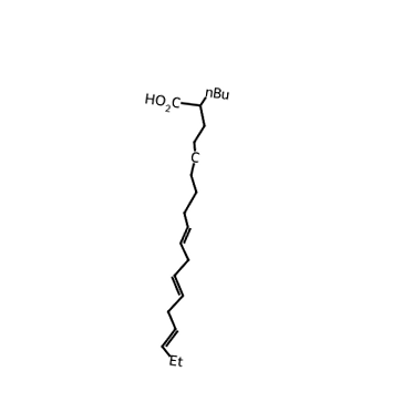 CC/C=C/C/C=C/C/C=C/CCCCCCC(CCCC)C(=O)O